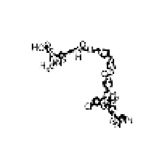 Cc1nc(SCC(=O)O)c2cc(C#CCNC(=O)COCCN3CCC(CN4CCN(CC(=O)N5CCN(CC[C@H](NC(=O)C6(N)CCN(c7ncnc8[nH]ccc78)CC6)c6ccc(Cl)cc6)CC5)CC4)CC3)sc2n1